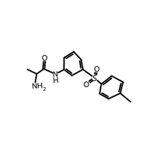 Cc1ccc(S(=O)(=O)c2cccc(NC(=O)C(C)N)c2)cc1